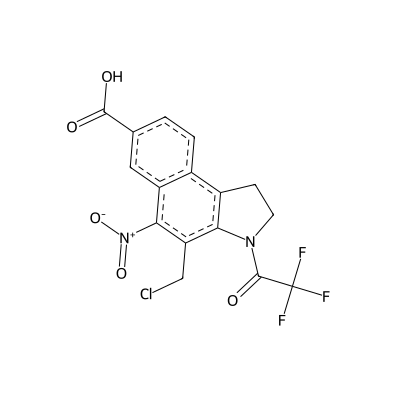 O=C(O)c1ccc2c3c(c(CCl)c([N+](=O)[O-])c2c1)N(C(=O)C(F)(F)F)CC3